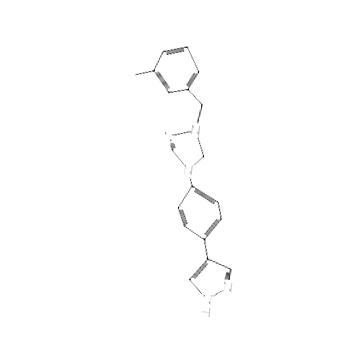 Fc1cccc(CN2CN(c3ccc(-c4cn[nH]c4)cc3)C=N2)c1